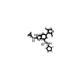 Cc1noc(C)c1-c1cc([S+]([O-])NC2CCCC2)c2nc(NC3CC3)[nH]c2c1